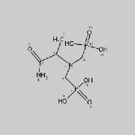 CC(C(N)=O)N(CP(=O)(O)O)CP(=O)(O)O